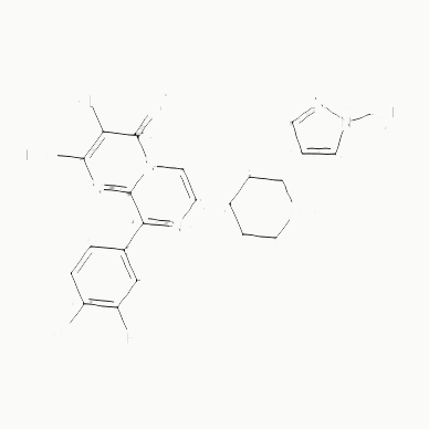 Cc1nc2c(-c3ccc(F)c(F)c3)nc([C@H]3CCO[C@@H](c4cnn(C)c4)C3)cn2c(=O)c1Cl